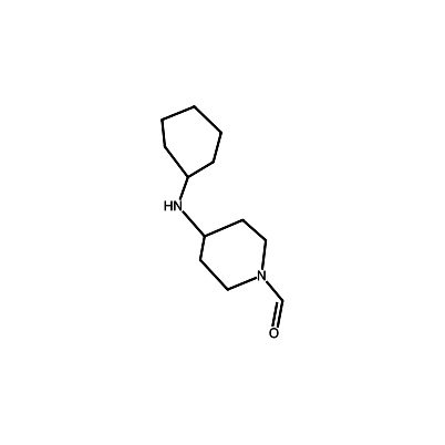 O=CN1CCC(NC2CCCCC2)CC1